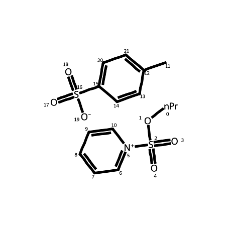 CCCOS(=O)(=O)[n+]1ccccc1.Cc1ccc(S(=O)(=O)[O-])cc1